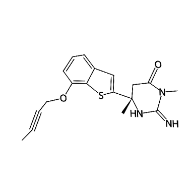 CC#CCOc1cccc2cc([C@]3(C)CC(=O)N(C)C(=N)N3)sc12